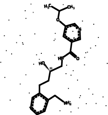 CC(C)Oc1cncc(C(=O)NC[C@@H](O)CCc2ccccc2CN)c1